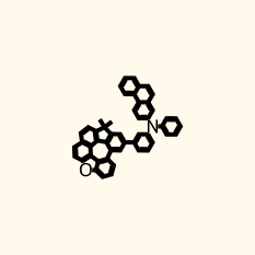 CC1(C)c2cc(-c3cccc(N(c4ccccc4)c4ccc5c(ccc6ccccc65)c4)c3)cc3c2-c2c1ccc1ccc4oc5cccc-3c5c4c21